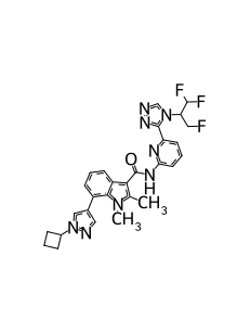 Cc1c(C(=O)Nc2cccc(-c3nncn3C(CF)C(F)F)n2)c2cccc(-c3cnn(C4CCC4)c3)c2n1C